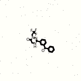 O=C(c1ccccc1)c1cccc(C2=NN(CC(F)(F)F)C(=O)CN2)c1